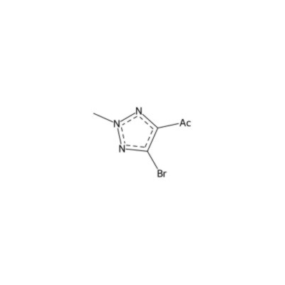 CC(=O)c1nn(C)nc1Br